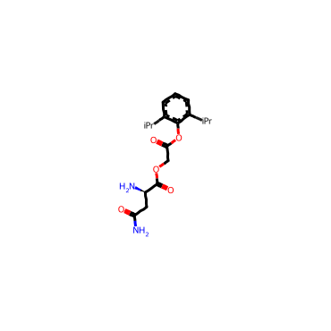 CC(C)c1cccc(C(C)C)c1OC(=O)COC(=O)[C@H](N)CC(N)=O